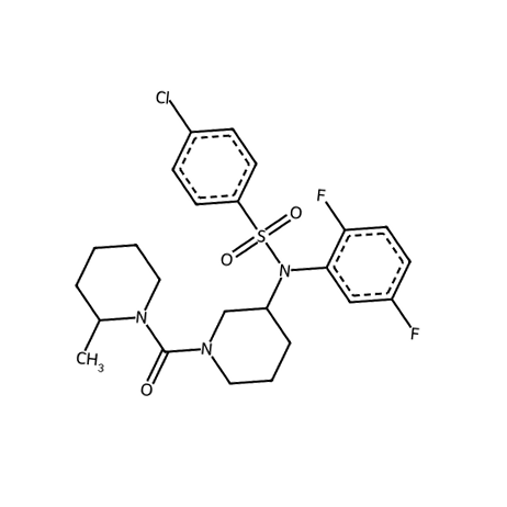 CC1CCCCN1C(=O)N1CCCC(N(c2cc(F)ccc2F)S(=O)(=O)c2ccc(Cl)cc2)C1